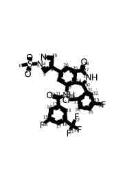 CS(=O)(=O)n1cc(-c2cc(NC(=O)c3cc(F)cc(C(F)(F)F)c3)c3c(c2)C(=O)NC3c2cc(F)ccc2Cl)cn1